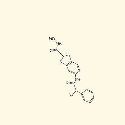 CCC(C(=O)Nc1ccc2c(c1)SC(C(=O)NO)C2)c1ccccc1